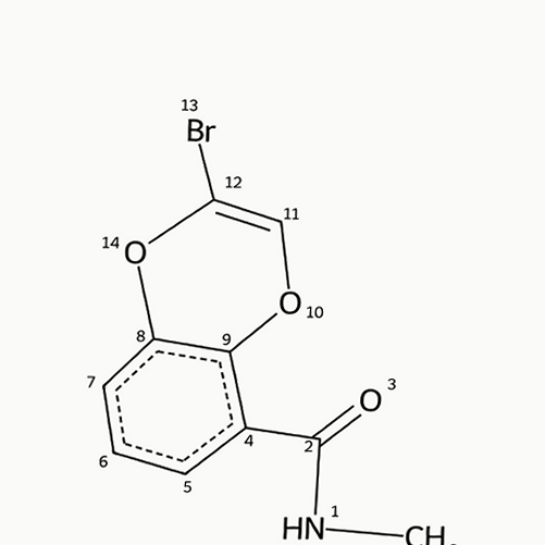 CNC(=O)c1cccc2c1OC=C(Br)O2